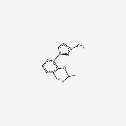 CC(C)c1cccc(-c2ccn(C)n2)c1OC(F)F